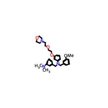 COc1cccc(CN(Cc2cccc(N(C)C)c2)c2cccc(OCCOCCN3CCOCC3)c2)c1